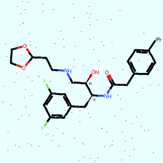 CC(C)c1ccc(CC(=O)N[C@@H](Cc2cc(F)cc(F)c2)[C@H](O)CNCCC2OCCO2)cc1